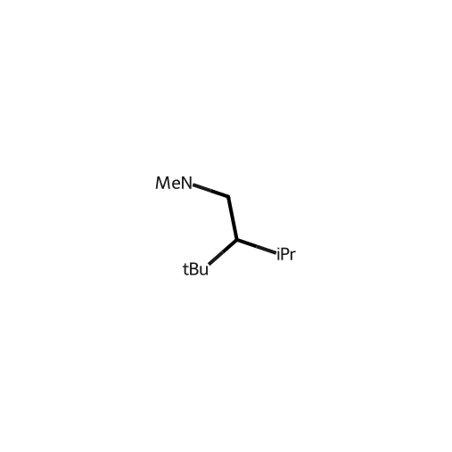 CNCC(C(C)C)C(C)(C)C